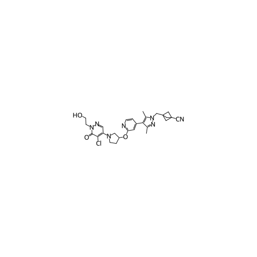 Cc1nn(CC23CC(C#N)(C2)C3)c(C)c1-c1ccnc(OC2CCN(c3cnn(CCO)c(=O)c3Cl)C2)c1